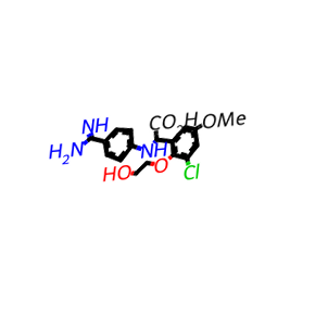 COc1cc(Cl)c(OCCO)c(C(Nc2ccc(C(=N)N)cc2)C(=O)O)c1